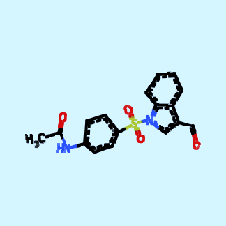 CC(=O)Nc1ccc(S(=O)(=O)n2cc(C=O)c3ccccc32)cc1